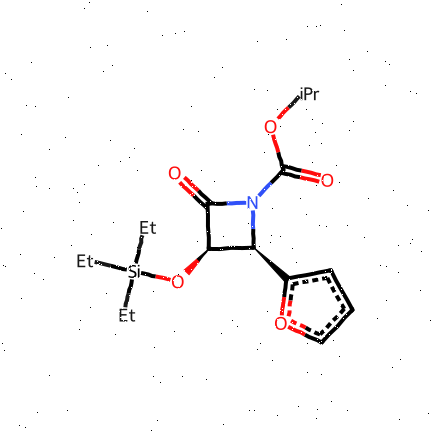 CC[Si](CC)(CC)O[C@H]1C(=O)N(C(=O)OC(C)C)[C@H]1c1ccco1